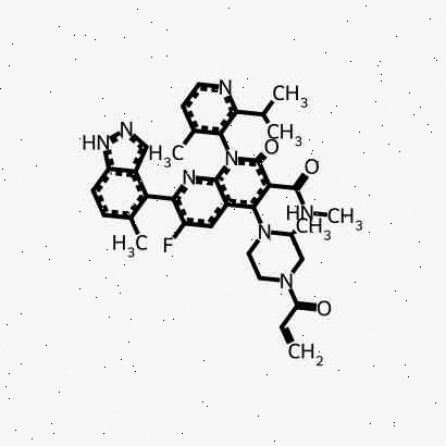 C=CC(=O)N1CCN(c2c(C(=O)NC)c(=O)n(-c3c(C)ccnc3C(C)C)c3nc(-c4c(C)ccc5[nH]ncc45)c(F)cc23)[C@@H](C)C1